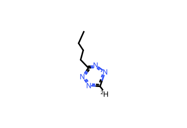 [2H]c1nnc(CCCC)nn1